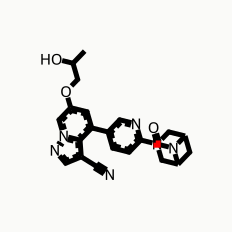 CC(O)COc1cc(-c2ccc(N3CC4CC(C3)N4C=O)nc2)c2c(C#N)cnn2c1